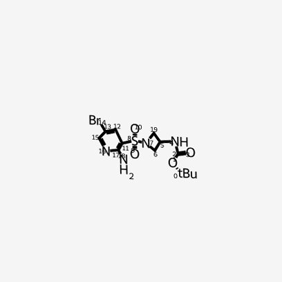 CC(C)(C)OC(=O)NC1CN(S(=O)(=O)c2cc(Br)cnc2N)C1